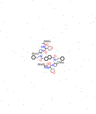 CN[C@@H](C)C(=O)N[C@H](C(=O)N1CC[C@H](OC)[C@H]1CN(CCc1ccccc1)C(=O)c1ccc2cc(C(=O)N(CCc3ccccc3)C[C@@H]3[C@@H](OC)CCN3C(=O)[C@@H](NC(=O)[C@H](C)NC)C3CCOCC3)ccc2c1)C1CCOCC1